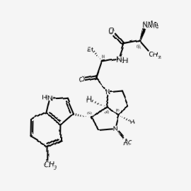 CC[C@H](NC(=O)[C@H](C)NC)C(=O)N1CC[C@@H]2[C@H]1[C@@H](c1c[nH]c3ccc(C)cc13)CN2C(C)=O